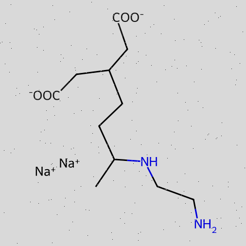 CC(CCC(CC(=O)[O-])CC(=O)[O-])NCCN.[Na+].[Na+]